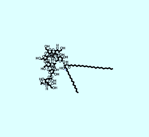 CCCCCCCCCCCCC/C=C/[C@@H](O)[C@H](CO[C@@H]1OC(CO)[C@@H](O[C@@H]2OC(CO)[C@H](O)[C@H](O[C@@H]3OC(CO)[C@@H](O[C@@H]4OC(CO)[C@H](O)[C@H](O[C@@H]5OC(CO)[C@@H](O[C@@H]6OC(CO[C@]7(C(=O)O)CC(O)[C@@H](NC(C)=O)C([C@H](O)[C@H](O)CO)O7)[C@H](O)[C@H](O)C6O)[C@H](O)C5NC(C)=O)C4O)[C@H](O)C3NC(C)=O)C2O)[C@H](O)C1O)NC(=O)CCCCCCCCCCCCCCCCCCCCCCC